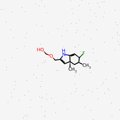 CC1C[C@]2(C)C=C(COCO)NC2=CC1F